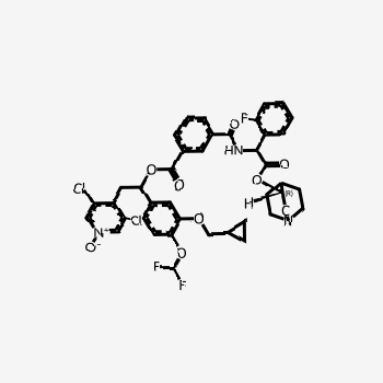 O=C(NC(C(=O)O[C@H]1CN2CCC1CC2)c1ccccc1F)c1cccc(C(=O)OC(Cc2c(Cl)c[n+]([O-])cc2Cl)c2ccc(OC(F)F)c(OCC3CC3)c2)c1